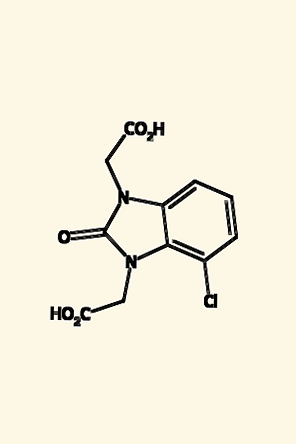 O=C(O)Cn1c(=O)n(CC(=O)O)c2c(Cl)cccc21